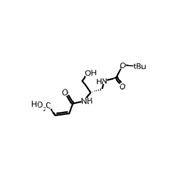 CC(C)(C)OC(=O)NC[C@@H](CO)NC(=O)/C=C\C(=O)O